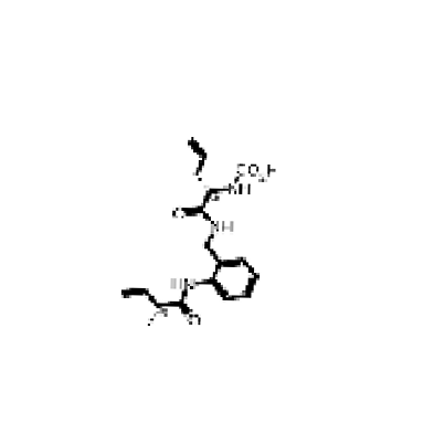 C=CC[C@H](NC(=O)O)C(=O)NCc1ccccc1NC(=O)[C@H](C)C=C